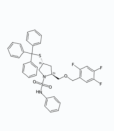 O=S(=O)(Nc1ccccc1)N1C[C@H](SC(c2ccccc2)(c2ccccc2)c2ccccc2)C[C@H]1COCc1cc(F)c(F)cc1F